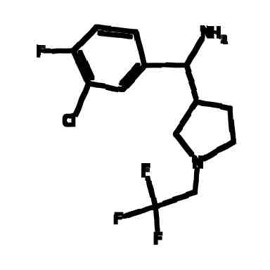 NC(c1ccc(F)c(Cl)c1)C1CCN(CC(F)(F)F)C1